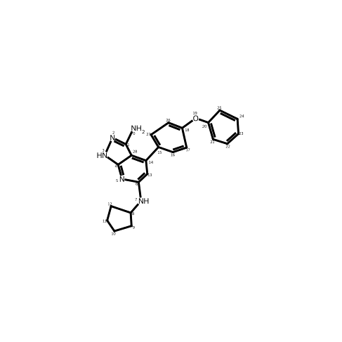 Nc1n[nH]c2nc(NC3CCCC3)cc(-c3ccc(Oc4ccccc4)cc3)c12